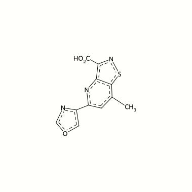 Cc1cc(-c2cocn2)nc2c(C(=O)O)nsc12